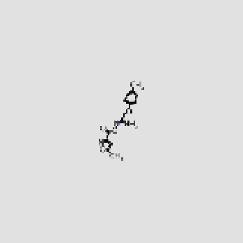 Cc1ccc(OC/C(N)=N/OC(=O)c2cc(C)on2)cc1